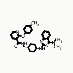 Cc1ccc(Oc2ncccc2C(=O)NC[C@H]2CC[C@@H](Nc3nc(N(C)C)c4ccccc4n3)CC2)cc1